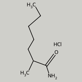 CCCCCC(C)C(N)=O.Cl